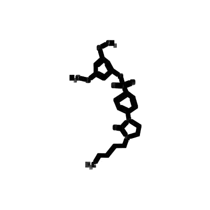 CCCCCN1CCN(c2ccc(S(=O)(=O)Oc3cc(OC)cc(OC)c3)cc2)C1=O